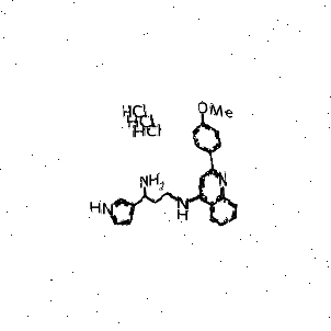 COc1ccc(-c2cc(NCCC(N)c3cc[nH]c3)c3ccccc3n2)cc1.Cl.Cl.Cl